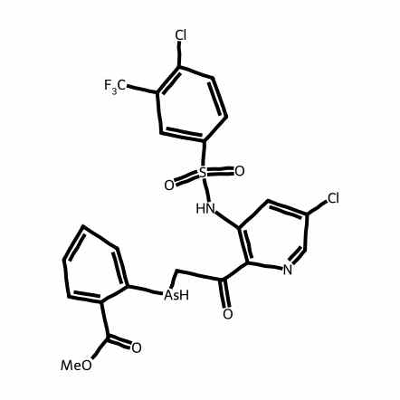 COC(=O)c1ccccc1[AsH]CC(=O)c1ncc(Cl)cc1NS(=O)(=O)c1ccc(Cl)c(C(F)(F)F)c1